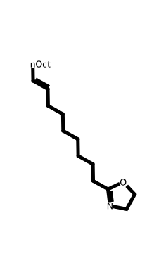 CCCCCCCC/C=C/CCCCCCCC1=NCCO1